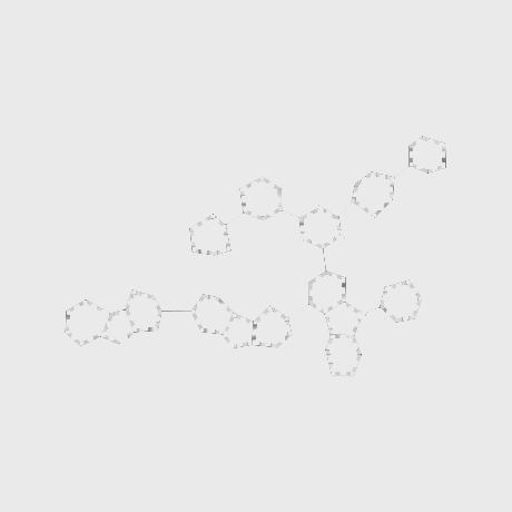 c1ccc(-c2ccc(-c3nc(-c4cccc(-c5ccccc5)c4)nc(-c4cc(-c5ccc6oc7cc(-c8ccc9c(c8)sc8ccccc89)ccc7c6c5)c5c6ccccc6n(-c6ccccc6)c5c4)n3)cc2)cc1